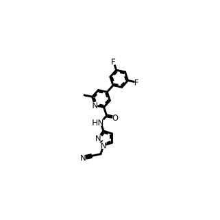 Cc1cc(-c2cc(F)cc(F)c2)cc(C(=O)Nc2ccn(CC#N)n2)n1